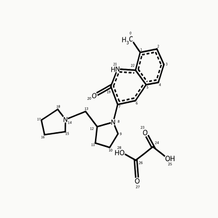 Cc1cccc2cc(N3CCCC3CN3CCCC3)c(=O)[nH]c12.O=C(O)C(=O)O